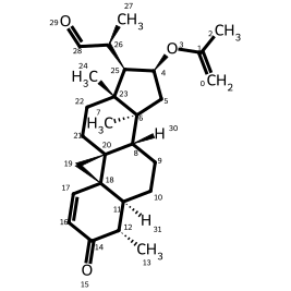 C=C(C)O[C@H]1C[C@@]2(C)[C@@H]3CC[C@H]4[C@H](C)C(=O)C=C[C@@]45C[C@@]35CC[C@]2(C)[C@H]1[C@H](C)C=O